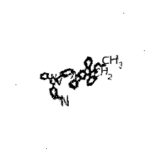 C=C(/C=C\C=C/C)C1(c2ccccc2)c2ccccc2-c2cc3c(cc21)c1ccccc1n3-c1cccc(-c2nc(-c3ccccc3)cc(-c3cccc(C#N)c3)n2)c1